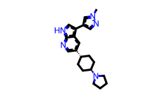 Cn1cc(-c2c[nH]c3ncc([C@H]4CC[C@H](N5CCCC5)CC4)cc23)cn1